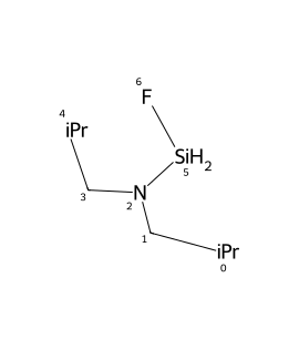 CC(C)CN(CC(C)C)[SiH2]F